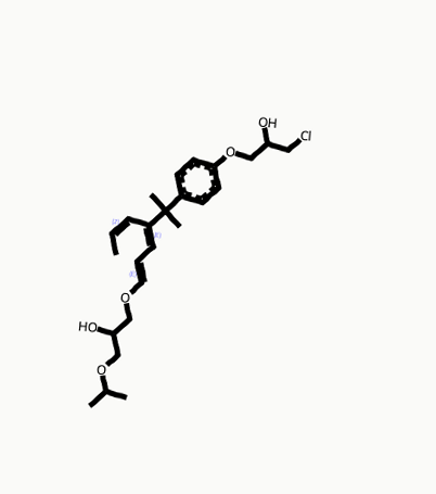 C\C=C/C(=C\C=C\OCC(O)COC(C)C)C(C)(C)c1ccc(OCC(O)CCl)cc1